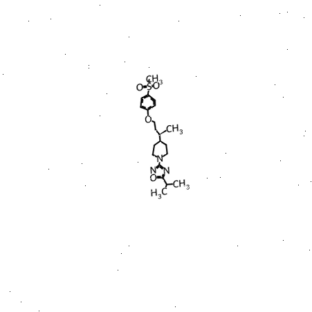 CC(C)c1nc(N2CCC([C@H](C)CCOc3ccc(S(C)(=O)=O)cc3)CC2)no1